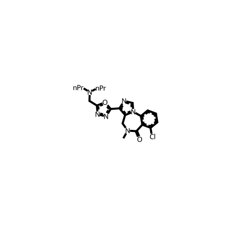 CCCN(CCC)Cc1nnc(-c2ncn3c2CN(C)C(=O)c2c(Cl)cccc2-3)o1